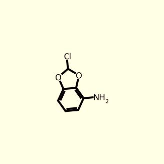 Nc1cccc2c1OC(Cl)O2